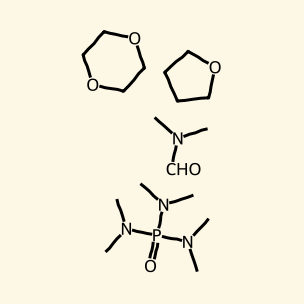 C1CCOC1.C1COCCO1.CN(C)C=O.CN(C)P(=O)(N(C)C)N(C)C